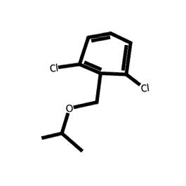 CC(C)OCc1c(Cl)cccc1Cl